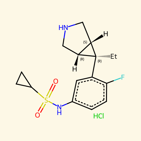 CC[C@]1(c2cc(NS(=O)(=O)C3CC3)ccc2F)[C@@H]2CNC[C@@H]21.Cl